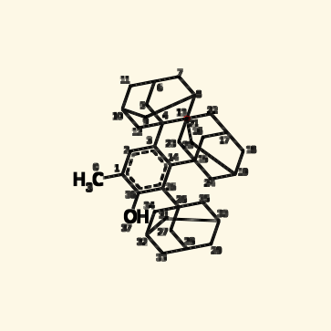 Cc1cc(C23CC4CC(CC(C4)C2)C3)c(C23CC4CC(CC(C4)C2)C3)c(C23CC4CC(CC(C4)C2)C3)c1O